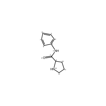 O=C(Nc1cc[c]cc1)C1CCCN1